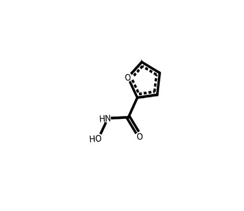 O=C(NO)c1cc[c]o1